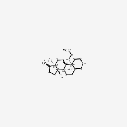 C=C1CC[C@H]2[C@@H]3CCC4=CCCC[C@]4(CCSC)C3=CC[C@]12C